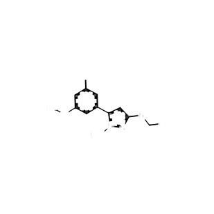 CC(C)(C)Oc1cc(F)cc(-c2cc(NCO)nn2C(F)(F)F)c1